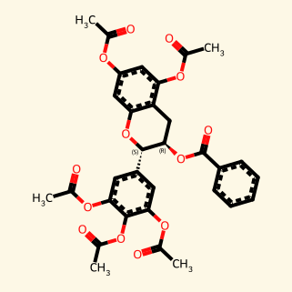 CC(=O)Oc1cc(OC(C)=O)c2c(c1)O[C@@H](c1cc(OC(C)=O)c(OC(C)=O)c(OC(C)=O)c1)[C@H](OC(=O)c1ccccc1)C2